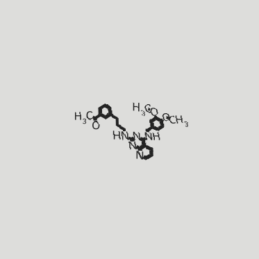 COc1ccc(CNc2nc(NCCCc3cccc(C(C)=O)c3)nc3ncccc23)cc1OC